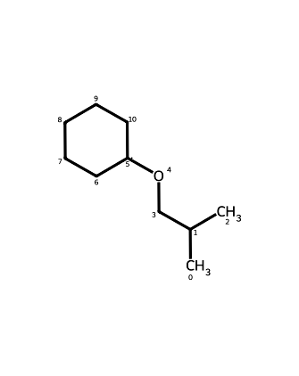 CC(C)CO[C]1CCCCC1